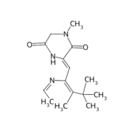 C\C=N/C(/C=C1\NC(=O)CN(C)C1=O)=C(\C)C(C)(C)C